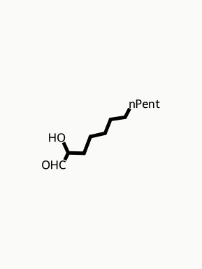 CCCCCCCCCCC(O)C=O